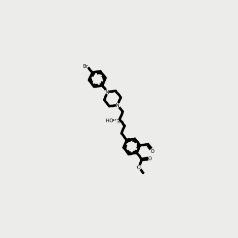 COC(=O)c1ccc(CC[C@H](O)CN2CCN(c3ccc(Br)cc3)CC2)cc1C=O